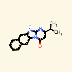 CC(C)c1cc(=O)n2c(n1)[nH]c1cc3ccccc3cc12